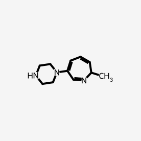 CC1C=CC=C(N2CCNCC2)C=N1